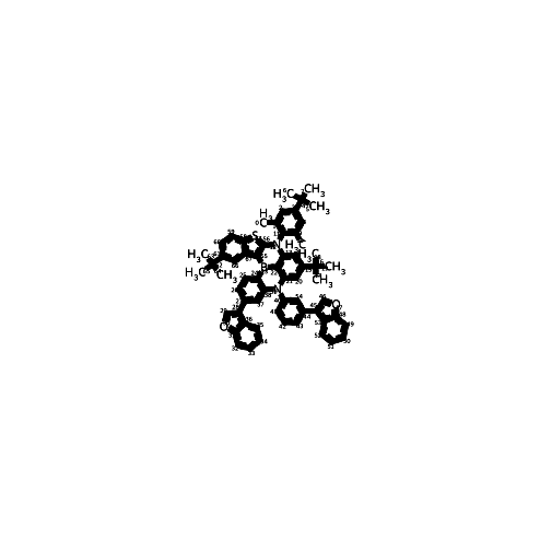 Cc1cc(C(C)(C)C)cc(C)c1N1c2cc(C(C)(C)C)cc3c2B(c2ccc(-c4coc5ccccc45)cc2N3c2cccc(-c3coc4ccccc34)c2)c2c1sc1ccc(C(C)(C)C)cc21